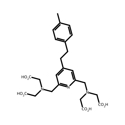 Cc1ccc(CCc2cc(CN(CC(=O)O)CC(=O)O)nc(CN(CC(=O)O)CC(=O)O)c2)cc1